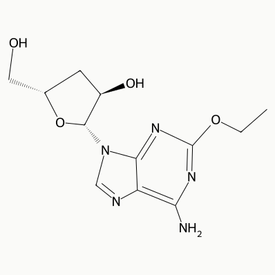 CCOc1nc(N)c2ncn([C@@H]3O[C@H](CO)C[C@H]3O)c2n1